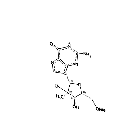 COC[C@H]1O[C@@H](n2cnc3c(=O)[nH]c(N)nc32)[C@](C)(Cl)[C@@H]1O